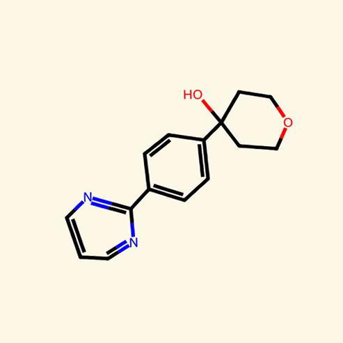 OC1(c2ccc(-c3ncccn3)cc2)CCOCC1